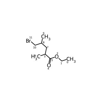 CCOC(=O)C(C)CC(C)CBr